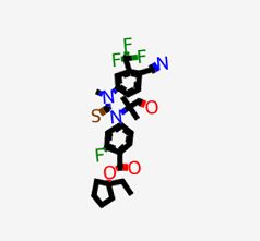 CCC1(OC(=O)c2ccc(N(C(=S)N(C)c3ccc(C#N)c(C(F)(F)F)c3)C(C)(C)C=O)cc2F)CCCC1